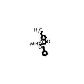 C=CCc1ccc2c(c1)O[C@](C#Cc1ccccc1)(C(=O)OC)CC2=O